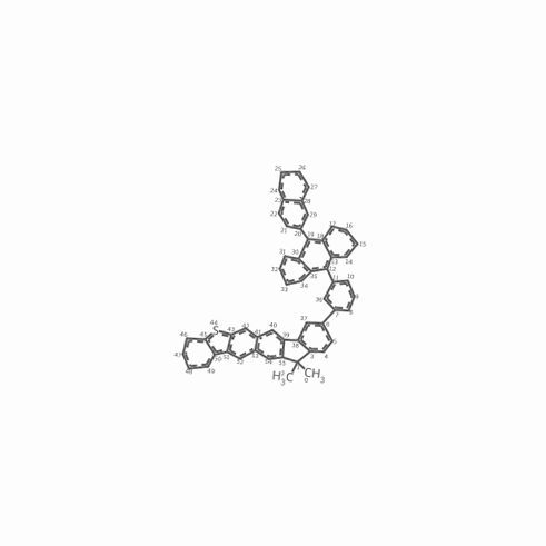 CC1(C)c2ccc(-c3cccc(-c4c5ccccc5c(-c5ccc6ccccc6c5)c5ccccc45)c3)cc2-c2cc3cc4sc5ccccc5c4cc3cc21